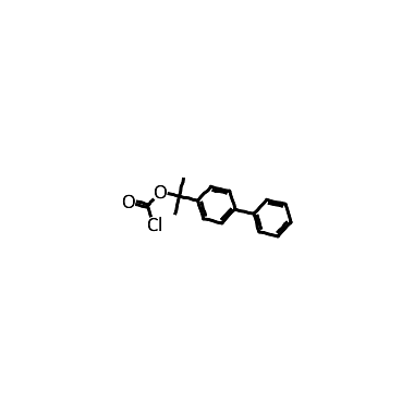 CC(C)(OC(=O)Cl)c1ccc(-c2ccccc2)cc1